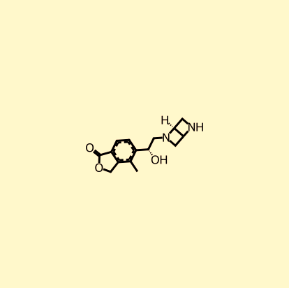 Cc1c([C@@H](O)CN2CC3NC[C@@H]32)ccc2c1COC2=O